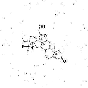 CCC(F)([C@@H]1CC2C3CCC4=CC(=O)CC[C@]4(C)C3=CC[C@]2(C)[C@@]1(C)C(=O)CO)C(F)(F)F